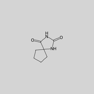 O=C1NC(=O)C2(CCCC2)N1